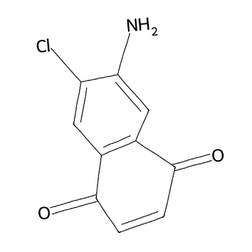 Nc1cc2c(cc1Cl)C(=O)C=CC2=O